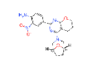 Nc1ccc(-c2nc3c(c(N4C[C@H]5CC[C@@H](C4)O5)n2)CCCO3)cc1[N+](=O)[O-]